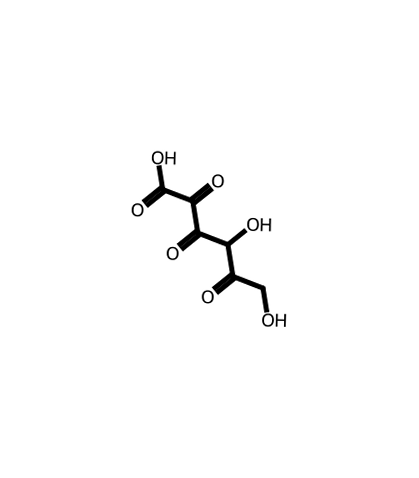 O=C(O)C(=O)C(=O)C(O)C(=O)CO